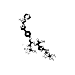 CC(C)(C)OC(=O)Nc1nc(C(=NOC(COc2ccc(-c3cnn(CC[N+]4(C)CCOCC4)c3)cc2)C(=O)OC(C)(C)C)C(=O)O)cs1.[I-]